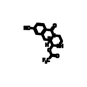 N#Cc1ccc2c(c1)C[C@@H]1C(OC(=O)C(F)(F)F)NCCN1C2=O